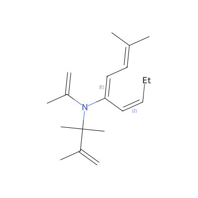 C=C(C)N(C(/C=C\CC)=C/C=C(C)C)C(C)(C)C(=C)C